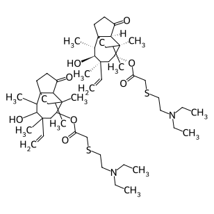 C=CC1(C)CC(OC(=O)CSCCN(CC)CC)C2(C)C(C)CCC3(CCC(=O)C32)C(C)C1O.C=C[C@]1(C)C[C@@H](OC(=O)CSCCN(CC)CC)[C@@]2(C)C(C)CC[C@]3(CCC(=O)[C@H]32)[C@@H](C)[C@@H]1O